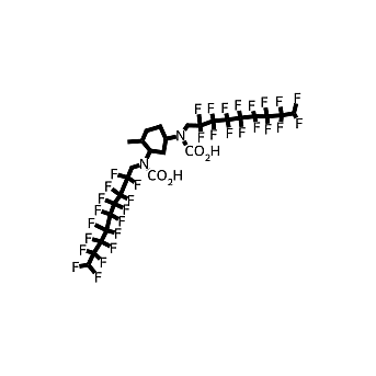 CC1CCC(N(CC(F)(F)C(F)(F)C(F)(F)C(F)(F)C(F)(F)C(F)(F)C(F)(F)C(F)F)C(=O)O)CC1N(CC(F)(F)C(F)(F)C(F)(F)C(F)(F)C(F)(F)C(F)(F)C(F)(F)C(F)F)C(=O)O